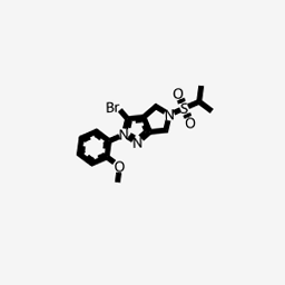 COc1ccccc1-n1nc2c(c1Br)CN(S(=O)(=O)C(C)C)C2